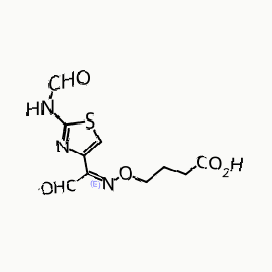 O=[C]/C(=N/OCCCC(=O)O)c1csc(NC=O)n1